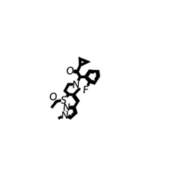 CC(=O)SC1CCN(C(C(=O)C2CC2)c2ccccc2F)CC1=Cc1ccn(C)n1